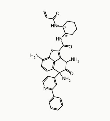 C=CC(=O)N[C@H]1CCCC[C@H]1NC(=O)c1sc2c(N)ccc3c2c1C(N)C(=O)C3(N)c1ccnc(-c2ccccc2)c1